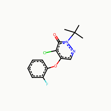 CC(C)(C)n1ncc(Oc2ccccc2F)c(Cl)c1=O